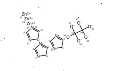 C1=NC=NC1.C1=NC=NC1.C1=NC=NC1.[O-]C([O-])([O-])C([O-])([O-])[O-].[Zn+2].[Zn+2].[Zn+2]